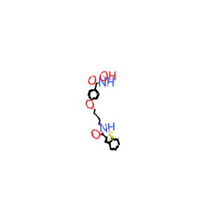 O=C(NO)c1ccc(OCCCCNC(=O)c2cc3ccccc3s2)cc1